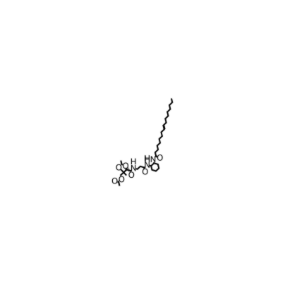 CCCCCCCCC=CCCCCCCCC(=O)NC1CCCCC1NC(=O)CCNC(=O)[C@H](OC(C)=O)C(C)(C)COC(C)=O